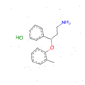 Cc1ccccc1OC(CCN)c1ccccc1.Cl